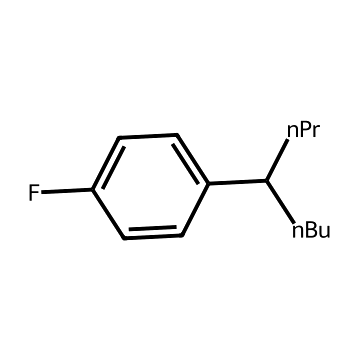 CCCCC(CCC)c1ccc(F)cc1